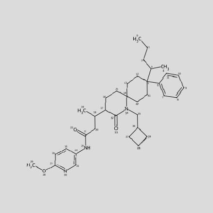 CCCC(C)C1(c2ccccc2)CCC2(CCC(C(C)CC(=O)Nc3ccc(OC)nc3)C(=O)N2CC2CCC2)CC1